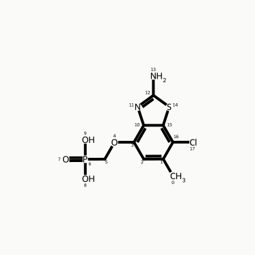 Cc1cc(OCP(=O)(O)O)c2nc(N)sc2c1Cl